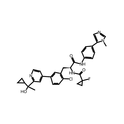 Cn1cncc1-c1ccc(NC(=O)[C@H](Cc2cc(-c3ccnc(C(C)(O)C4CC4)c3)ccc2Cl)NC(=O)C2(F)CC2)cc1